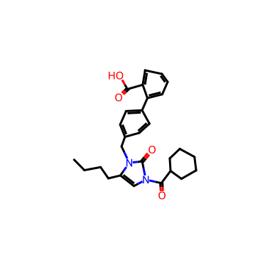 CCCCc1cn(C(=O)C2CCCCC2)c(=O)n1Cc1ccc(-c2ccccc2C(=O)O)cc1